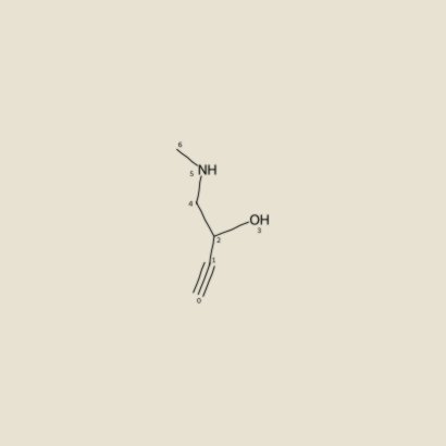 C#CC(O)CNC